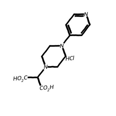 Cl.O=C(O)C(C(=O)O)N1CCN(c2ccncc2)CC1